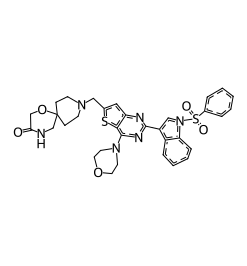 O=C1COC2(CCN(Cc3cc4nc(-c5cn(S(=O)(=O)c6ccccc6)c6ccccc56)nc(N5CCOCC5)c4s3)CC2)CN1